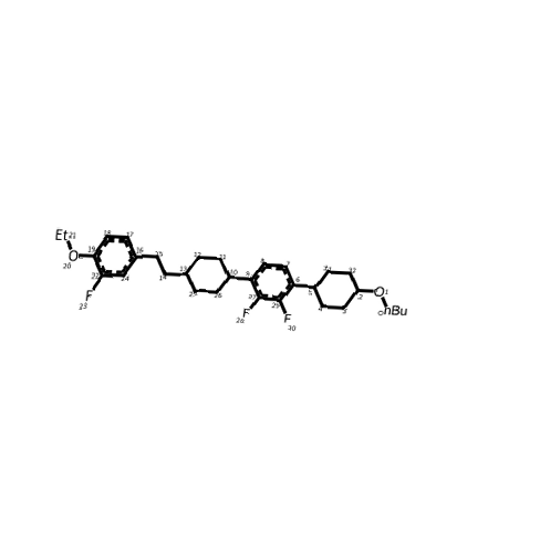 CCCCOC1CCC(c2ccc(C3CCC(CCc4ccc(OCC)c(F)c4)CC3)c(F)c2F)CC1